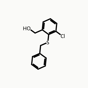 OCc1cccc(Cl)c1SCc1ccccc1